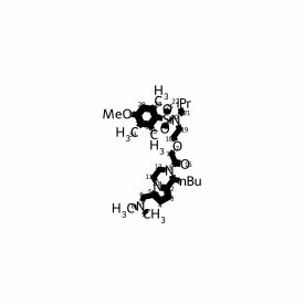 CCCCC1c2ccc(CN(C)C)n2CCN1C(=O)COCCN(CC(C)C)S(=O)(=O)c1c(C)cc(OC)c(C)c1C